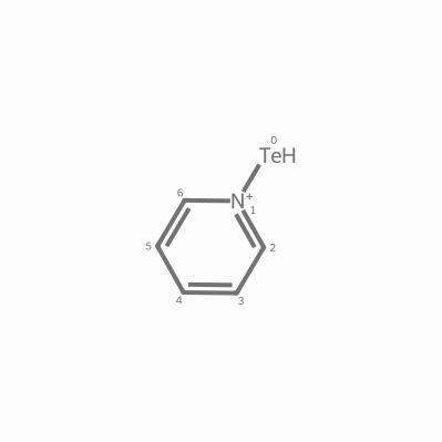 [TeH][n+]1ccccc1